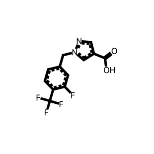 O=C(O)c1cnn(Cc2ccc(C(F)(F)F)c(F)c2)c1